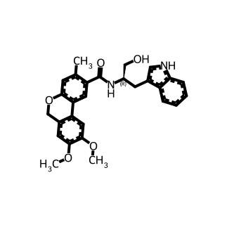 COc1cc2c(cc1OC)-c1cc(C(=O)N[C@@H](CO)Cc3c[nH]c4ccccc34)c(C)cc1OC2